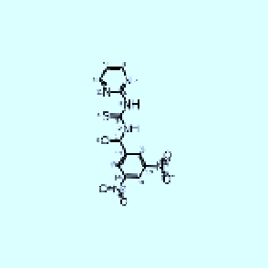 O=C(NC(=S)Nc1ncccn1)c1cc([N+](=O)[O-])cc([N+](=O)[O-])c1